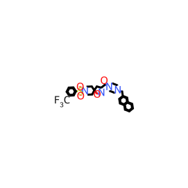 O=C(C1=NOC2(CCN(S(=O)(=O)c3cccc(C(F)(F)F)c3)CC2)C1)N1CCN(Cc2ccc3ccccc3c2)CC1